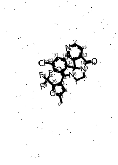 Cc1cc(C(=O)N2CCN3C(=O)c4ccncc4C32c2ccc(Cl)cc2)c(C(F)(F)F)o1